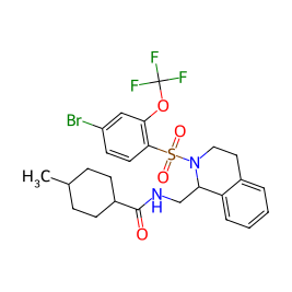 CC1CCC(C(=O)NCC2c3ccccc3CCN2S(=O)(=O)c2ccc(Br)cc2OC(F)(F)F)CC1